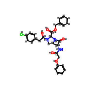 O=C(COc1ccccc1)N[C@H]1C(=O)N2C1CN(C(=O)Cc1ccc(Cl)cc1)C2C(=O)OCc1ccccc1